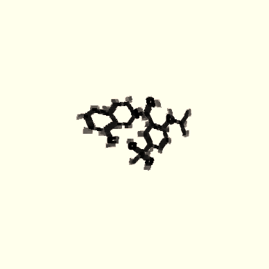 CC(C)Oc1ccc(S(C)(=O)=O)cc1C(=O)N1CCc2cccc(Cl)c2C1